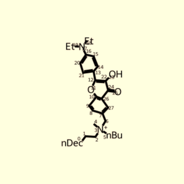 CCCCCCCCCCCC[N+](C)(CCCC)Cc1ccc2oc(-c3ccc(N(CC)CC)cc3)c(O)c(=O)c2c1